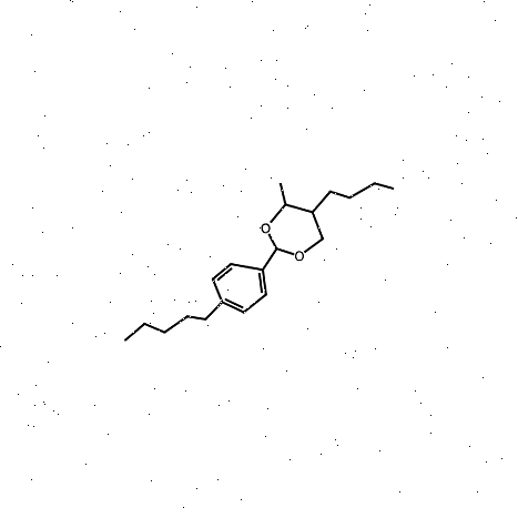 CCCCCc1ccc(C2OCC(CCCC)C(C)O2)cc1